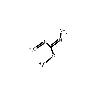 C=N/C(=N\N)OC